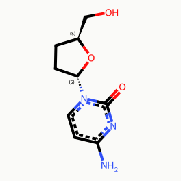 Nc1ccn([C@@H]2CC[C@@H](CO)O2)c(=O)n1